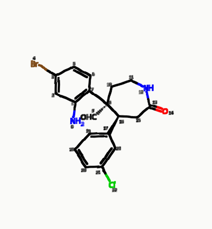 Nc1cc(Br)ccc1[C@@]1(C=O)CCNC(=O)C[C@H]1c1cccc(Cl)c1